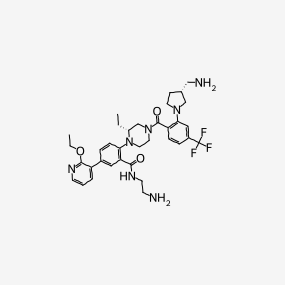 CCOc1ncccc1-c1ccc(N2CCN(C(=O)c3ccc(C(F)(F)F)cc3N3CC[C@H](CN)C3)C[C@H]2CC)c(C(=O)NCCN)c1